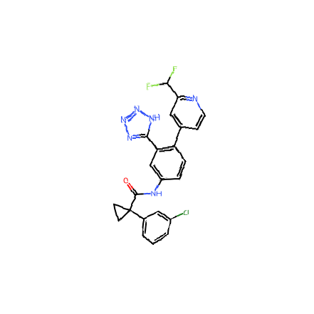 O=C(Nc1ccc(-c2ccnc(C(F)F)c2)c(-c2nnn[nH]2)c1)C1(c2cccc(Cl)c2)CC1